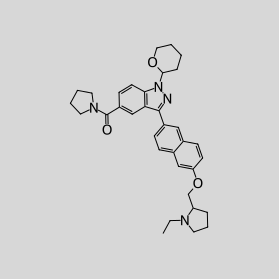 CCN1CCCC1COc1ccc2cc(-c3nn(C4CCCCO4)c4ccc(C(=O)N5CCCC5)cc34)ccc2c1